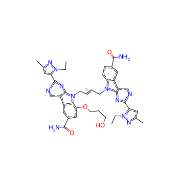 CCn1nc(C)cc1-c1ncc2c3cc(C(N)=O)ccc3n(C/C=C/Cn3c4nc(-c5cc(C)nn5CC)ncc4c4cc(C(N)=O)cc(OCCCO)c43)c2n1